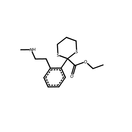 CCOC(=O)C1(c2ccccc2CCNC)SCCCS1